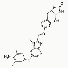 CC1=CC(Oc2ccc3nc(COc4ccc(CC5SC(=O)NC5O)cc4)n(C)c3c2)CC(C)=C1N